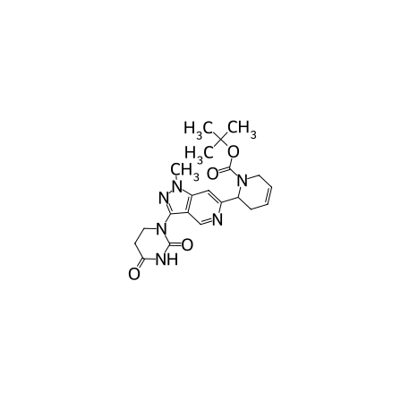 Cn1nc(N2CCC(=O)NC2=O)c2cnc(C3CC=CCN3C(=O)OC(C)(C)C)cc21